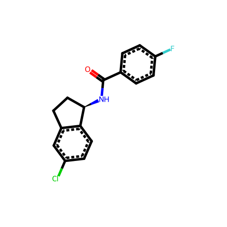 O=C(N[C@@H]1CCc2cc(Cl)ccc21)c1ccc(F)cc1